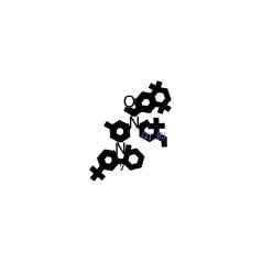 C=C(/C=C\C(=C/C)C(C)(C)C)N(c1cc(C)cc(N2c3ccc(C(C)(C)C)cc3[C@]3(C)CCCCC23C)c1)c1coc2cc3c(cc12)C(C)(C)CCC3(C)C